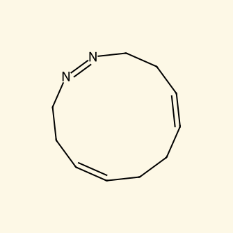 C1=CCCN=NCCC=CCC1